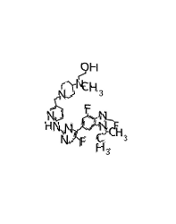 CC(C)n1c(CF)nc2c(F)cc(-c3nc(Nc4ccc(CN5CCC(N(C)CCO)CC5)cn4)ncc3F)cc21